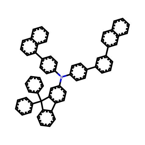 c1ccc(C2(c3ccccc3)c3ccccc3-c3ccc(N(c4ccc(-c5cccc(-c6ccc7ccccc7c6)c5)cc4)c4ccc(-c5cccc6ccccc56)cc4)cc32)cc1